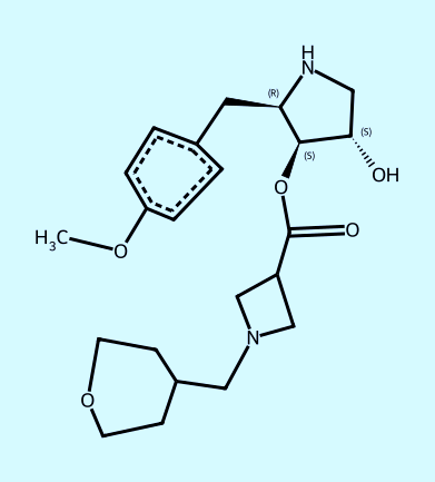 COc1ccc(C[C@H]2NC[C@H](O)[C@H]2OC(=O)C2CN(CC3CCOCC3)C2)cc1